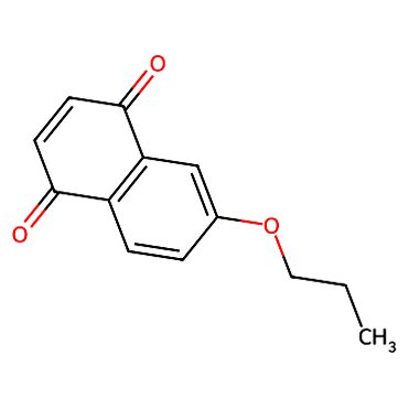 CCCOc1ccc2c(c1)C(=O)C=CC2=O